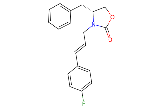 O=C1OC[C@@H](Cc2ccccc2)N1C/C=C/c1ccc(F)cc1